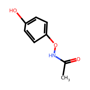 CC(=O)NOc1ccc(O)cc1